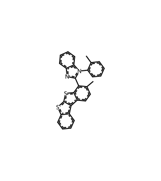 Cc1ccccc1-n1c(-c2c(C)ccc3c2sc2sc4ccccc4c23)nc2ccccc21